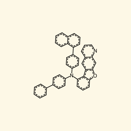 c1ccc(-c2ccc(N(c3ccc(-c4cccc5ccccc45)cc3)c3cccc4oc5cc6ncccc6cc5c34)cc2)cc1